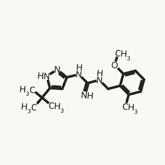 COc1cccc(C)c1CNC(=N)Nc1cc(C(C)(C)C)[nH]n1